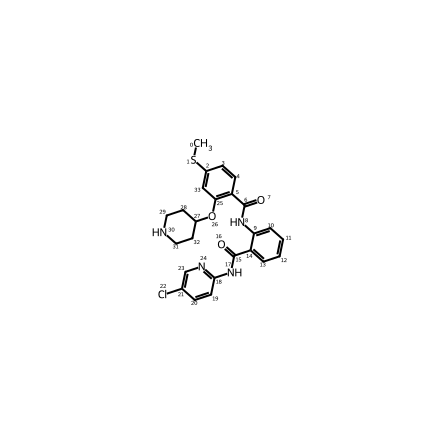 CSc1ccc(C(=O)Nc2ccccc2C(=O)Nc2ccc(Cl)cn2)c(OC2CCNCC2)c1